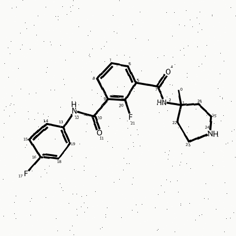 CC1(NC(=O)c2cccc(C(=O)Nc3ccc(F)cc3)c2F)CCNCC1